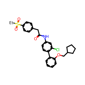 CCS(=O)(=O)c1ccc(CC(=O)Nc2ccc(-c3ccccc3OCC3CCCC3)c(Cl)c2)cc1